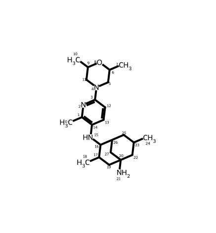 Cc1nc(N2CC(C)OC(C)C2)ccc1NC1C(C)CC2(N)CC(C)CC1C2